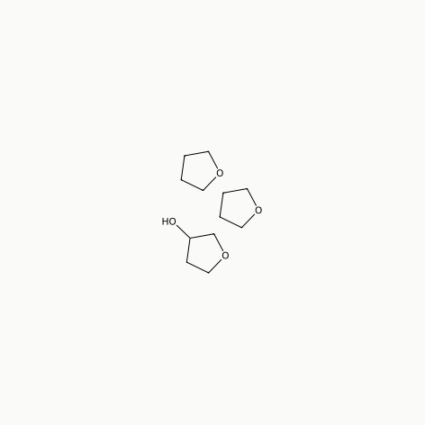 C1CCOC1.C1CCOC1.OC1CCOC1